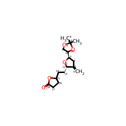 C=C1C[C@H](C2COC(C)(C)O2)O[C@H]1CCC1CCC(=O)O1